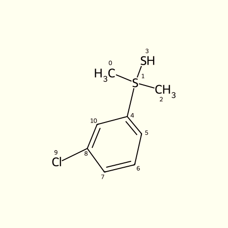 CS(C)(S)c1cccc(Cl)c1